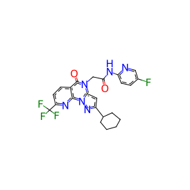 O=C(Cn1c(=O)c2ccc(C(F)(F)F)nc2n2nc(C3CCCCC3)cc12)Nc1ccc(F)cn1